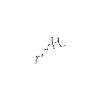 CCNS(=O)(=O)CCCON=O